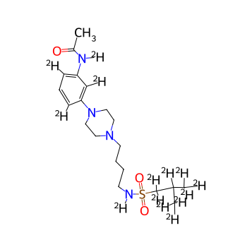 [2H]c1cc([2H])c(N([2H])C(C)=O)c([2H])c1N1CCN(CCCCN([2H])S(=O)(=O)C([2H])([2H])C([2H])(C([2H])([2H])[2H])C([2H])([2H])[2H])CC1